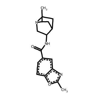 Cc1nc2cc(C(=O)NC3CN4CCC3CC4C)ccc2o1